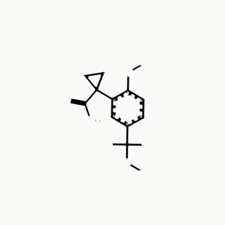 CCOc1ccc(C(C)(C)OCC)cc1C1(C(=O)OC)CC1